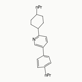 CCCc1ccc(-c2ccc(C3CCC(CCC)CC3)nc2)cc1